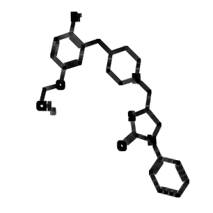 CCOc1ccc(Br)c(CC2CCN(CC3CN(c4ccccc4)C(=O)S3)CC2)c1